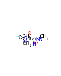 Cc1cn(-c2ccc(CC3CC4(COC4)CN4C3=NN(C)CC4(C)c3ccc(F)cc3)c3cnoc23)cn1